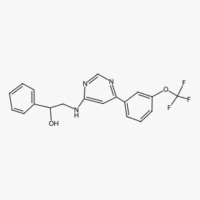 OC(CNc1cc(-c2cccc(OC(F)(F)F)c2)ncn1)c1ccccc1